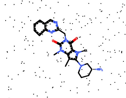 CCn1c(N2CCC[C@@H](N)C2)c(C)c2c1c(=O)n(Cc1ncc3ccccc3n1)c(=O)n2C